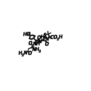 CC1(C)S[C@@H]2[C@H](NC(=O)C(NC(=O)[C@H](N)CC(N)=O)c3ccc(O)cc3)C(=O)N2[C@H]1C(=O)O